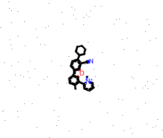 Cc1ccc2c(oc3c(C#N)c(C4CCCCC4)ccc32)c1-c1cccc[n+]1C